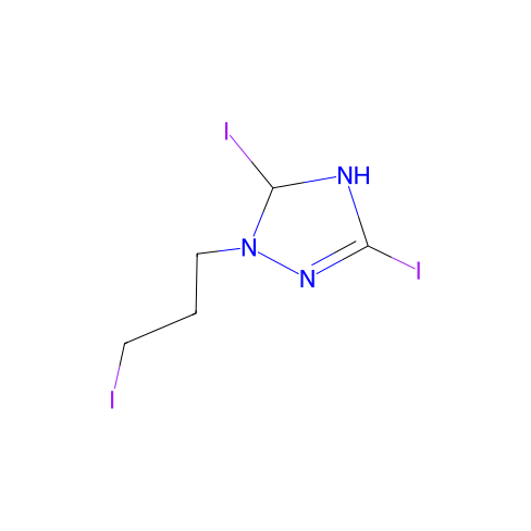 ICCCN1N=C(I)NC1I